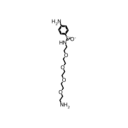 NCCOCCOCCOCCOCCN[S+]([O-])c1ccc(N)cc1